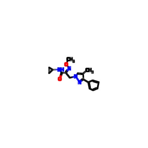 CON=C(Cn1cc(C)c(-c2ccccc2)n1)C(=O)NC1CC1